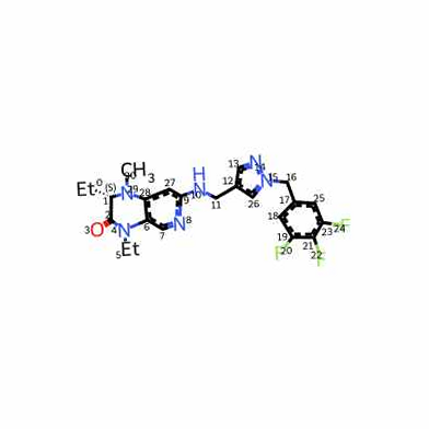 CC[C@H]1C(=O)N(CC)c2cnc(NCc3cnn(Cc4cc(F)c(F)c(F)c4)c3)cc2N1C